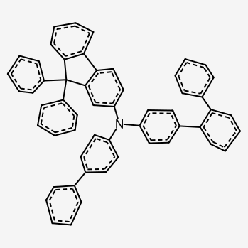 c1ccc(-c2ccc(N(c3ccc(-c4ccccc4-c4ccccc4)cc3)c3ccc4c(c3)C(c3ccccc3)(c3ccccc3)c3ccccc3-4)cc2)cc1